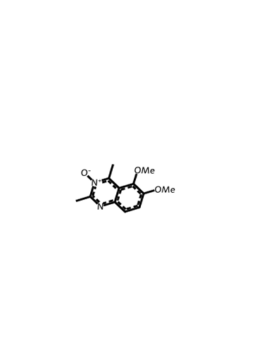 COc1ccc2nc(C)[n+]([O-])c(C)c2c1OC